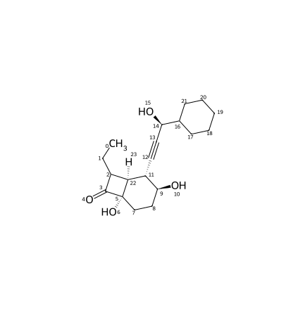 CCC1C(=O)[C@]2(O)CC[C@H](O)[C@@H](C#C[C@@H](O)C3CCCCC3)[C@H]12